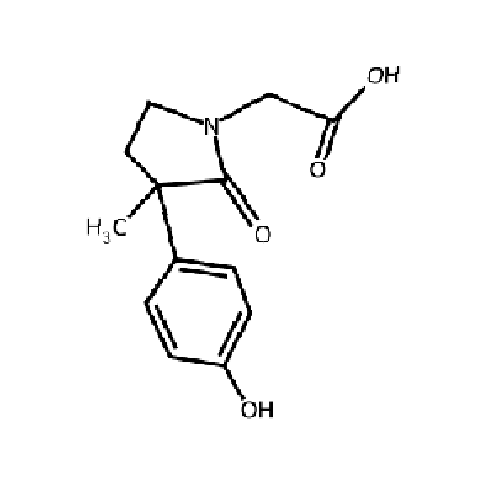 CC1(c2ccc(O)cc2)CCN(CC(=O)O)C1=O